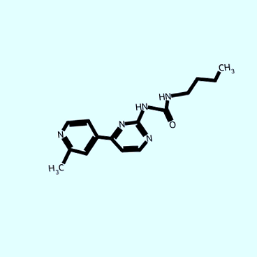 CCCCNC(=O)Nc1nccc(-c2ccnc(C)c2)n1